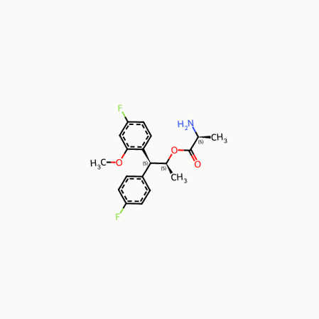 COc1cc(F)ccc1[C@H](c1ccc(F)cc1)[C@H](C)OC(=O)[C@H](C)N